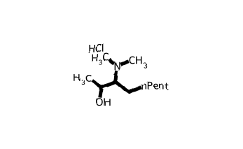 CCCCCCC(C(C)O)N(C)C.Cl